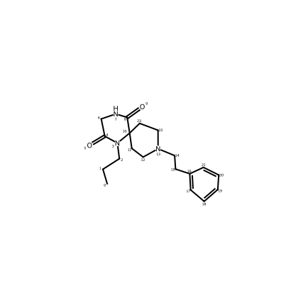 CCCN1C(=O)CNC(=O)C12CCN(CCc1ccccc1)CC2